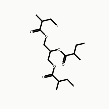 CC(CI)C(=O)OCC(COC(=O)C(C)CI)OC(=O)C(C)CI